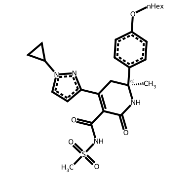 CCCCCCOc1ccc([C@]2(C)CC(c3ccn(C4CC4)n3)=C(C(=O)NS(C)(=O)=O)C(=O)N2)cc1